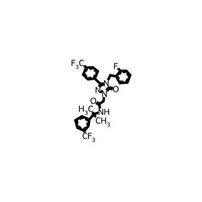 CC(C)(NC(=O)Cn1nc(-c2ccc(C(F)(F)F)cc2)n(Cc2ccccc2F)c1=O)c1cccc(C(F)(F)F)c1